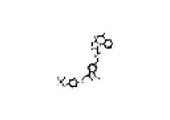 CC(C)c1ccccc1N1C(=O)CS/C1=N\N=C\c1ccc2c(COc3ccc(OC(F)(F)F)cc3)nn(C)c2c1